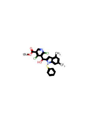 Cc1cc(C(F)(F)F)cc2c1cc(C(O)c1c(Cl)ncc(C(=O)OC(C)(C)C)c1Cl)n2Sc1ccccc1